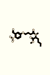 CCCCC(C(=O)OC)N(C)C(=O)CCCOc1ccc([N+](=O)[O-])c(C=O)c1